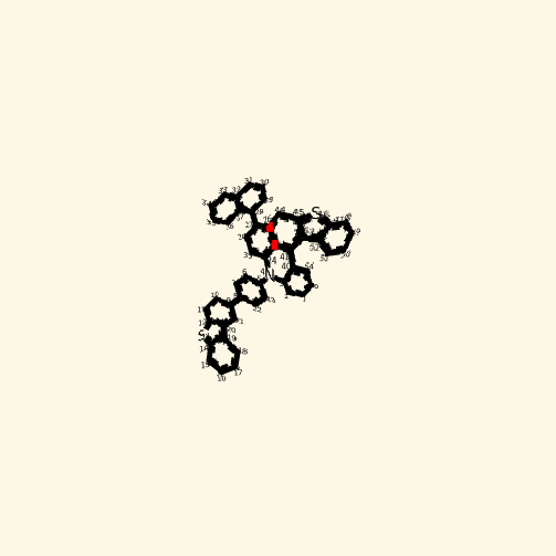 c1ccc(N(c2ccc(-c3ccc4sc5ccccc5c4c3)cc2)c2ccc(-c3cccc4ccccc34)cc2)c(-c2cccc3sc4ccccc4c23)c1